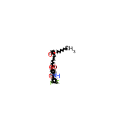 CCCCCC/C=C/[C@H]1CCC(=O)[C@@H]1CCCCCCC(=O)Oc1ccc(NC(=O)c2cc(F)cc(F)c2)cc1